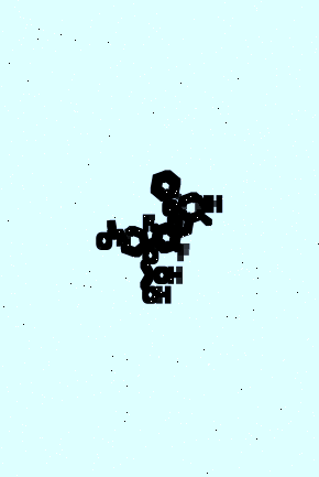 CC(=O)N1CCC(OC[C@H](O)CO)(c2cc(F)c(CC3[C@H](C)NC[C@@H](c4ccccc4)S3(=O)=O)cc2F)CC1